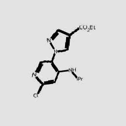 CCOC(=O)c1cnn(-c2cnc(Cl)cc2NC(C)C)c1